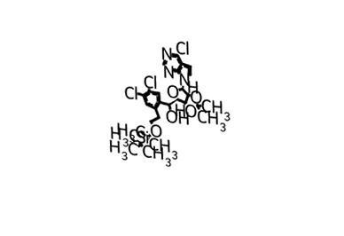 CC1(C)O[C@@H]2[C@H](O1)[C@@H](C(O)c1cc(Cl)c(Cl)cc1CCO[Si](C)(C)C(C)(C)C)O[C@H]2n1ccc2c(Cl)ncnc21